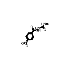 CNC(=O)NNC(=O)c1ccc([N+](=O)[O-])cc1